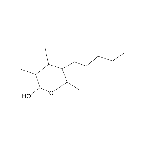 CCCCCC1C(C)OC(O)C(C)C1C